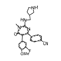 COc1ccc(-c2c(-c3ccc(C#N)cc3)nc(NCC3CCNC3)n(C)c2=O)cc1F